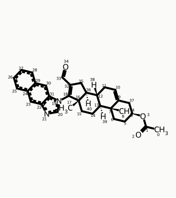 CC(=O)O[C@H]1CC[C@@]2(C)C(=CC[C@@H]3[C@@H]2CC[C@]2(C)C(n4cnc5cc6ccccc6cc54)=C(C=O)C[C@@H]32)C1